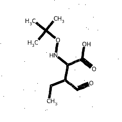 CCC(C=O)C(NOC(C)(C)C)C(=O)O